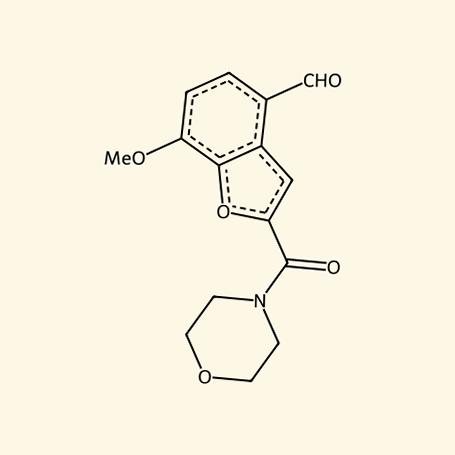 COc1ccc(C=O)c2cc(C(=O)N3CCOCC3)oc12